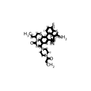 C=CC(=O)N1CCN(c2nc(=O)n3c4c(c(-c5ccc(F)c6sc(N)c(C#N)c56)c(C(F)(F)F)cc24)SCC3CC)CC1